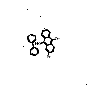 Oc1c2ccccc2c(O)c2cc(Br)ccc12.c1ccc(-c2ccccc2)cc1